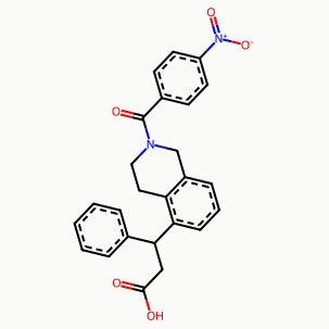 O=C(O)CC(c1ccccc1)c1cccc2c1CCN(C(=O)c1ccc([N+](=O)[O-])cc1)C2